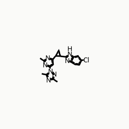 Cc1nc(C2CC2c2nc3ccc(Cl)cc3[nH]2)cc(-n2nc(C)nc2C)n1